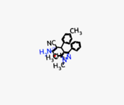 C/C(N)=C(/C#N)C(c1ccc(C)cc1)c1c(-c2ccccc2)nn(C)c1C